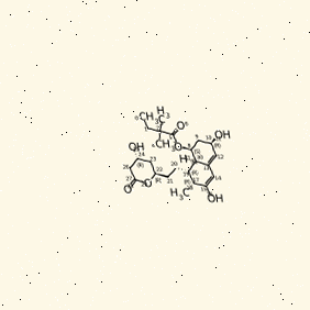 CCC(C)(C)C(=O)O[C@H]1C[C@@H](O)C=C2C=C(O)[C@H](C)[C@H](CC[C@@H]3C[C@@H](O)CC(=O)O3)[C@H]21